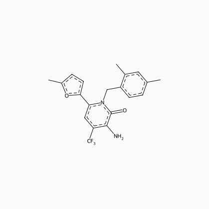 Cc1ccc(Cn2c(-c3ccc(C)o3)cc(C(F)(F)F)c(N)c2=O)c(C)c1